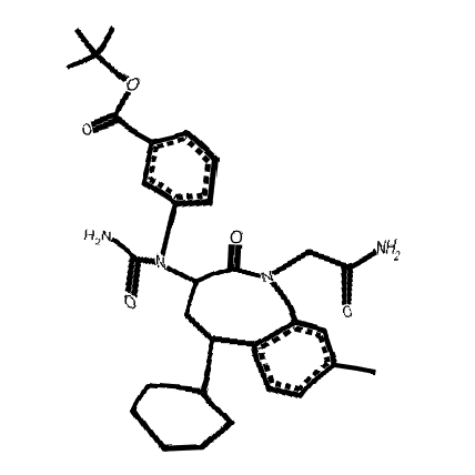 Cc1ccc2c(c1)N(CC(N)=O)C(=O)C(N(C(N)=O)c1cccc(C(=O)OC(C)(C)C)c1)CC2C1CCCCC1